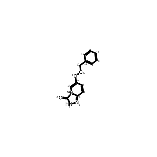 O=c1[nH]nc2ccc(OOCc3ccccc3)cn12